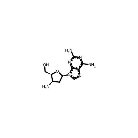 Nc1nc(N)c2ncn([C@H]3C[C@@H](N)[C@@H](CO)O3)c2n1